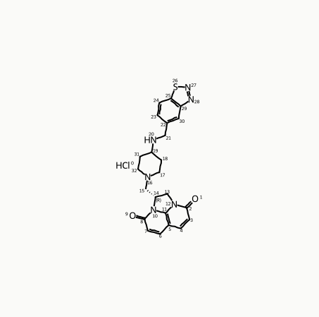 Cl.O=c1ccc2ccc(=O)n3c2n1C[C@H]3CN1CCC(NCc2ccc3snnc3c2)CC1